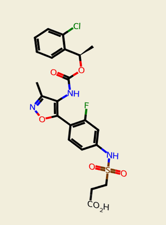 Cc1noc(-c2ccc(NS(=O)(=O)CCC(=O)O)cc2F)c1NC(=O)O[C@H](C)c1ccccc1Cl